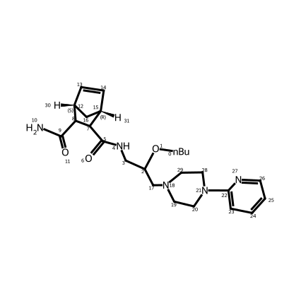 CCCCOC(CNC(=O)C1C(C(N)=O)[C@@H]2C=C[C@H]1C2)CN1CCN(c2ccccn2)CC1